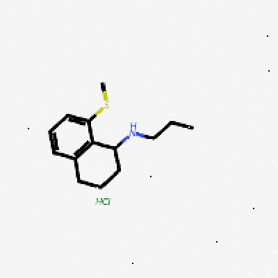 CCCNC1CCCc2cccc(SC)c21.Cl